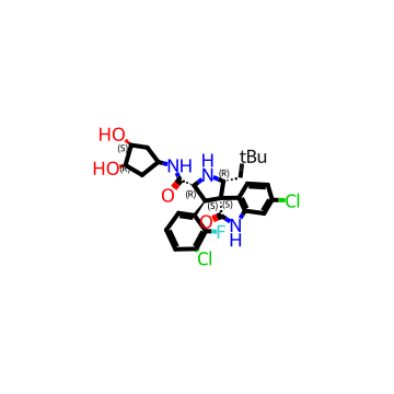 CC(C)(C)C[C@H]1N[C@@H](C(=O)NC2C[C@@H](O)[C@@H](O)C2)[C@H](c2cccc(Cl)c2F)[C@@]12C(=O)Nc1cc(Cl)ccc12